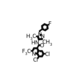 Cc1nn(Cc2ccc(F)cc2)c(C)c1NC(=O)c1cc(C(F)(F)F)nc2c(Cl)cc(Cl)cc12